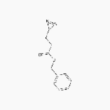 O=C(CCC1N=N1)OCc1ccccc1